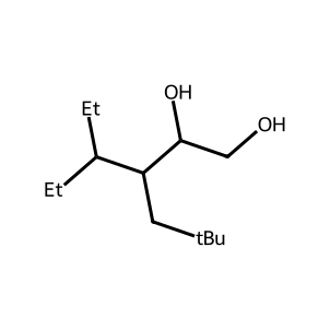 CCC(CC)C(CC(C)(C)C)C(O)CO